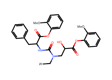 COc1ccccc1OC(=O)C(O)CN(CC(C)C)C(=O)NC(Cc1ccccc1)C(=O)Oc1ccccc1OC